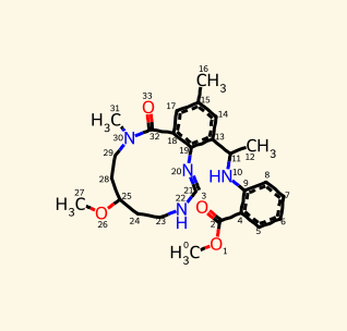 COC(=O)c1ccccc1NC(C)c1cc(C)cc2c1/N=C/NCCC(OC)CCN(C)C2=O